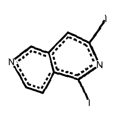 Ic1cc2cnccc2c(I)n1